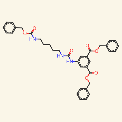 O=C(NCCCCCNC(=O)OCc1ccccc1)Nc1cc(C(=O)OCc2ccccc2)cc(C(=O)OCc2ccccc2)c1